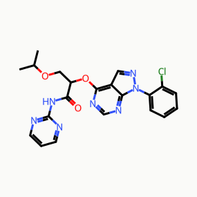 CC(C)OCC(Oc1ncnc2c1cnn2-c1ccccc1Cl)C(=O)Nc1ncccn1